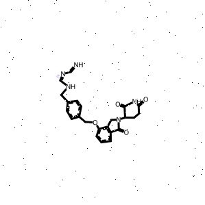 N=C/N=C\NCc1ccc(COc2cccc3c2CN(C2CCC(=O)NC2=O)C3=O)cc1